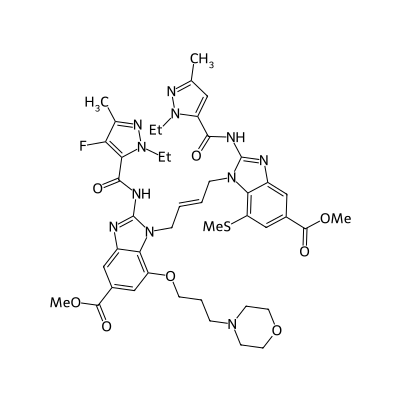 CCn1nc(C)cc1C(=O)Nc1nc2cc(C(=O)OC)cc(SC)c2n1C/C=C/Cn1c(NC(=O)c2c(F)c(C)nn2CC)nc2cc(C(=O)OC)cc(OCCCN3CCOCC3)c21